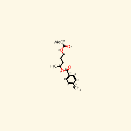 COC(=O)OCCCC(C)OC(=O)c1ccc(C)cc1